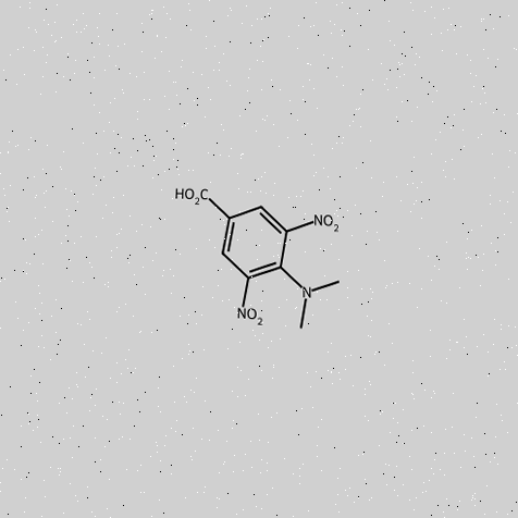 CN(C)c1c([N+](=O)[O-])cc(C(=O)O)cc1[N+](=O)[O-]